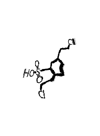 O=S(=O)(O)c1cc(CCCl)ccc1CCCl